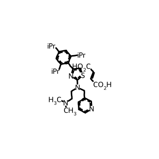 CC(C)c1cc(C(C)C)c(-c2csc(N(CCN(C)C)Cc3cccnc3)n2)c(C(C)C)c1.O=C(O)C=CC(=O)O